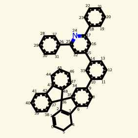 C1=CC2=C(CC1)c1ccc(-c3cccc(-c4cc(-c5ccccc5)nc(-c5ccccc5)c4)c3)cc1C21c2ccccc2-c2ccccc21